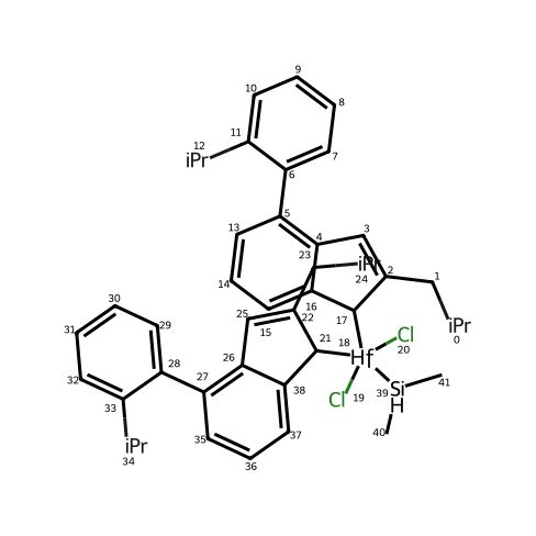 CC(C)CC1=Cc2c(-c3ccccc3C(C)C)cccc2[CH]1[Hf]([Cl])([Cl])([CH]1C(CC(C)C)=Cc2c(-c3ccccc3C(C)C)cccc21)[SiH](C)C